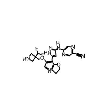 N#Cc1cnc(Nc2cc(-c3c(OCC4(C(F)F)CNC4)cnc4c3OCC4)[nH]n2)cn1